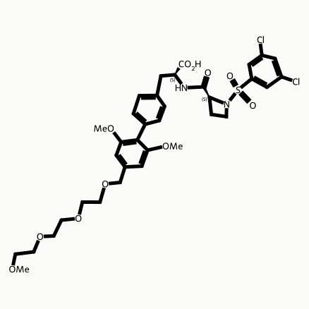 COCCOCCOCCOCc1cc(OC)c(-c2ccc(C[C@H](NC(=O)[C@@H]3CCN3S(=O)(=O)c3cc(Cl)cc(Cl)c3)C(=O)O)cc2)c(OC)c1